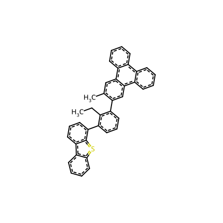 CCc1c(-c2cc3c4ccccc4c4ccccc4c3cc2C)cccc1-c1cccc2c1sc1ccccc12